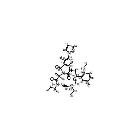 CCC(C)NC(=O)C(C)(C)n1c(=O)c2c(C)c(-n3cccn3)sc2n(C[C@H](OC[C@@H](C#N)CC)c2cc(F)ccc2OC)c1=O